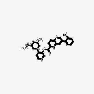 N#Cc1ccccc1-c1cnc2ccc(C(=O)Nc3cnccc3N3C[C@@H](NC(=O)O)C[C@@H](C(F)(F)F)C3)nc2c1